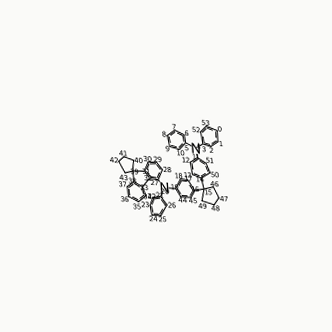 c1ccc(N(c2ccccc2)c2ccc(C3(c4ccc(N(c5ccccc5)c5cccc6c5-c5ccccc5C65CCCC5)cc4)CCCC3)cc2)cc1